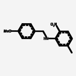 COc1ccc(CNc2cc(C)ccc2[N+](=O)[O-])cc1